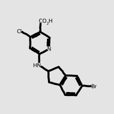 O=C(O)c1cnc(NC2Cc3ccc(Br)cc3C2)cc1Cl